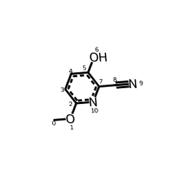 COc1ccc(O)c(C#N)n1